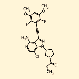 C=CC(=O)N1CCC(n2nc(C#Cc3c(F)c(OC)cc(OC)c3F)c3c(N)ncc(Cl)c32)C1